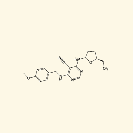 COc1ccc(CNc2ncnc(NC3CC[C@@H](CO)O3)c2C#N)cc1